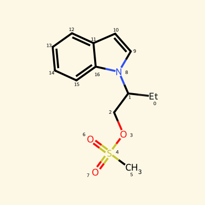 CCC(COS(C)(=O)=O)n1ccc2ccccc21